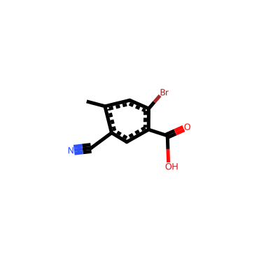 Cc1cc(Br)c(C(=O)O)cc1C#N